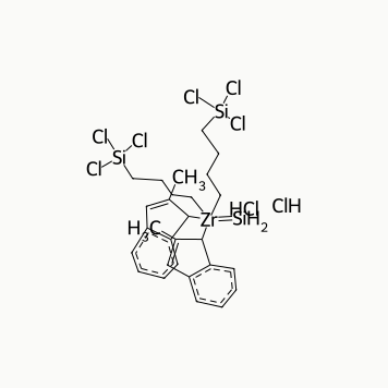 CC1=Cc2ccccc2[CH]1[Zr](=[SiH2])([CH2]CCC[Si](Cl)(Cl)Cl)([CH2]CCC[Si](Cl)(Cl)Cl)[CH]1C(C)=Cc2ccccc21.Cl.Cl